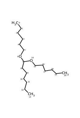 CCCCCCOC(CCCCCC)OCCCCCC